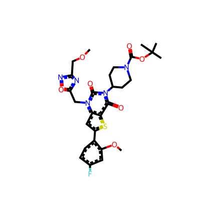 COCc1noc(Cn2c(=O)n(C3CCN(C(=O)OC(C)(C)C)CC3)c(=O)c3sc(-c4ccc(F)cc4OC)cc32)n1